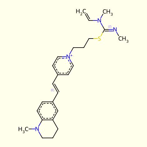 C=CN(C)/C(=N/C)SCCC[n+]1ccc(/C=C/c2ccc3c(c2)CCCN3C)cc1